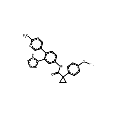 O=C(Nc1ccc(-c2cnc(C(F)(F)F)nc2)c(-c2nnn[nH]2)c1)C1(c2ccc(OC(F)(F)F)cc2)CC1